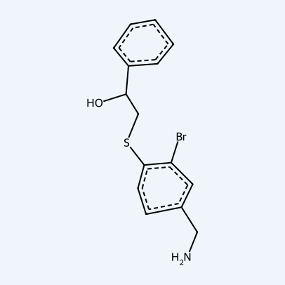 NCc1ccc(SCC(O)c2ccccc2)c(Br)c1